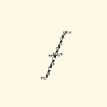 CCCCCCCCCOCCOCCOCCOCCOCCOCCOCCOCCOCCO.O=S(=O)(O)O